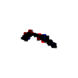 COc1cc2c(cc1OCCCCCOc1cc3c(cc1OC)C(=O)N1C=C(c4ccc(N5CCN(C)CC5)cc4)C[C@H]1C=N3)N=C[C@@H]1CC(C)=CN1C2=O